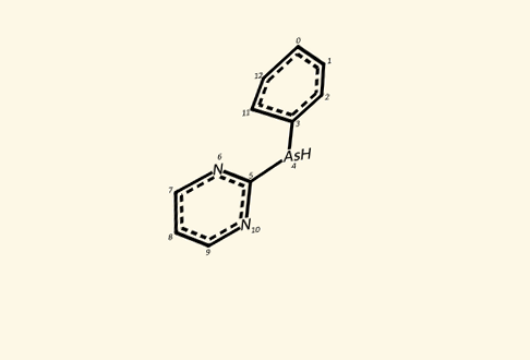 c1ccc([AsH]c2ncccn2)cc1